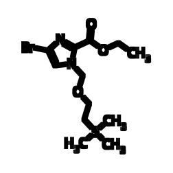 CCOC(=O)c1nc(Br)cn1COCCS(C)(C)C